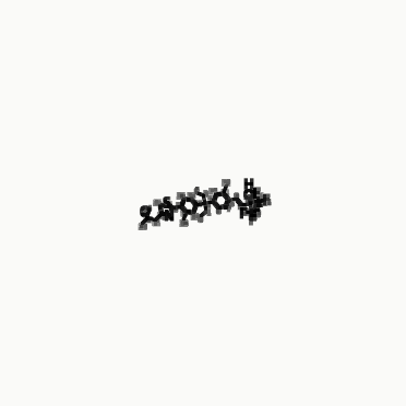 CCC(CC)(c1ccc(/C=C/C(O)(C(F)(F)F)C(F)(F)F)c(C)c1)c1ccc(-c2nc(CC(C)=O)cs2)c(C)c1